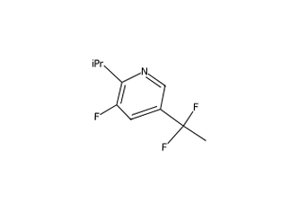 CC(C)c1ncc(C(C)(F)F)cc1F